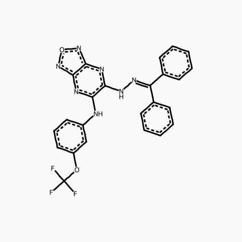 FC(F)(F)Oc1cccc(Nc2nc3nonc3nc2NN=C(c2ccccc2)c2ccccc2)c1